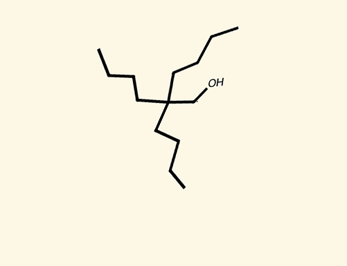 CCCCC([CH]O)(CCCC)CCCC